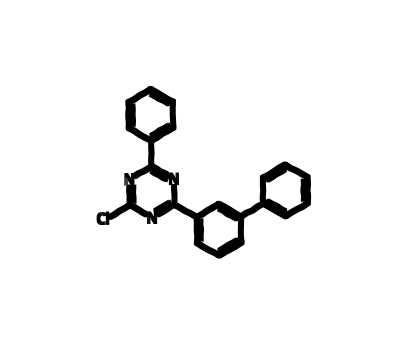 Clc1nc(-c2ccccc2)nc(-c2cccc(-c3ccccc3)c2)n1